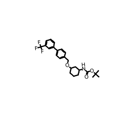 CC(C)(C)OC(=O)NC1CCCC(OCc2ccc(-c3cccc(C(F)(F)F)c3)cc2)C1